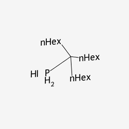 CCCCCCC(P)(CCCCCC)CCCCCC.I